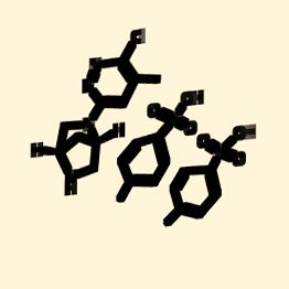 Cc1cc(N2C[C@@H]3C[C@H]2CN3)nnc1Cl.Cc1ccc(S(=O)(=O)O)cc1.Cc1ccc(S(=O)(=O)O)cc1